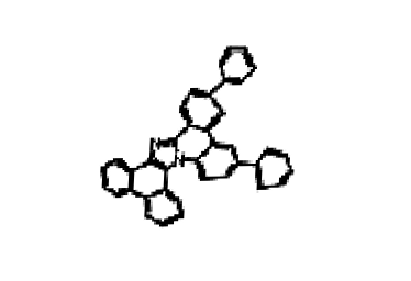 c1ccc(-c2ccc3c(c2)c2cc(-c4ccccc4)ccc2n2c3nc3c4ccccc4c4ccccc4c32)cc1